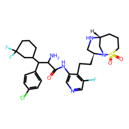 NC(C(=O)Nc1cncc(F)c1CC[C@H]1CN[C@@H]2CCCS(=O)(=O)N1C2)C(c1ccc(Cl)cc1)C1CCCC(F)(F)C1